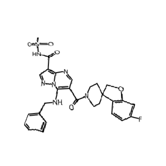 CS(=O)(=O)NC(=O)c1cnn2c(NCc3ccccc3)c(C(=O)N3CCC4(CC3)COc3cc(F)ccc34)cnc12